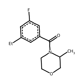 CCc1cc(F)cc(C(=O)N2CCOCC2C)c1